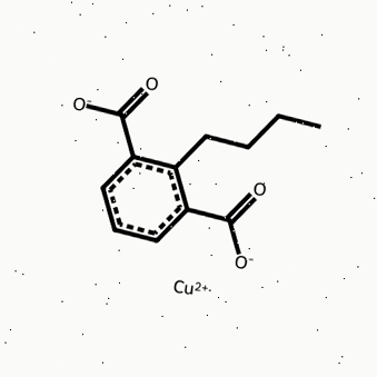 CCCCc1c(C(=O)[O-])cccc1C(=O)[O-].[Cu+2]